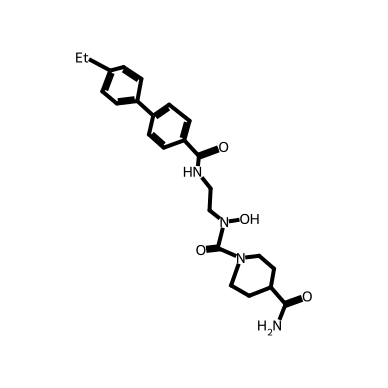 CCc1ccc(-c2ccc(C(=O)NCCN(O)C(=O)N3CCC(C(N)=O)CC3)cc2)cc1